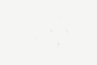 C=C(C)C(=O)C(C=O)n1c(=O)[nH]c(=O)[nH]c1=O